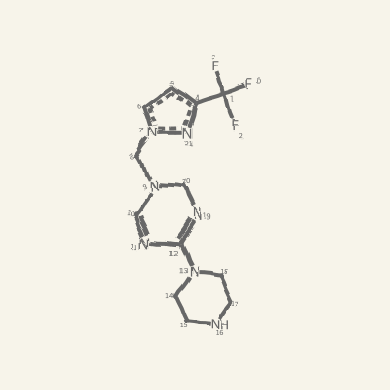 FC(F)(F)c1ccn(CN2C=NC(N3CCNCC3)=NC2)n1